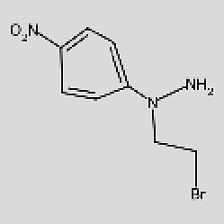 NN(CCBr)c1ccc([N+](=O)[O-])cc1